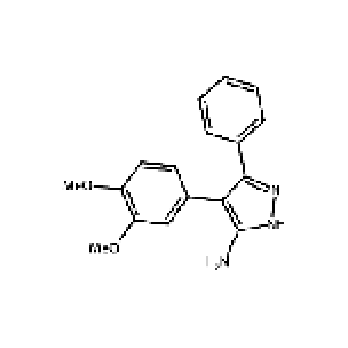 COc1ccc(-c2c(-c3ccccc3)n[nH]c2N)cc1OC